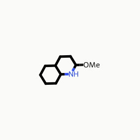 COC1CCC2CCCCC2N1